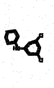 Clc1cc(Cl)cc(Nc2cc[c]cc2)c1